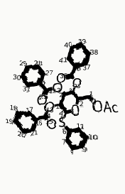 CC(=O)OCC1O[C@@H](Sc2ccccc2)[C@@H](OC(=O)c2ccccc2)C(OC(=O)c2ccccc2)[C@H]1OC(=O)c1ccccc1